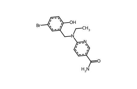 CCN(Cc1cc(Br)ccc1O)c1ccc(C(N)=O)cn1